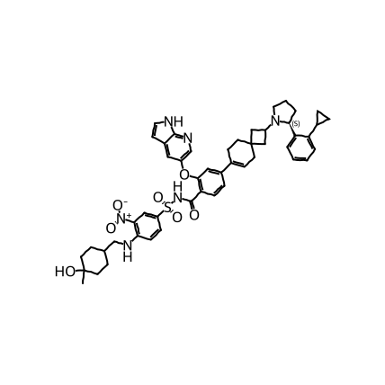 CC1(O)CCC(CNc2ccc(S(=O)(=O)NC(=O)c3ccc(C4=CCC5(CC4)CC(N4CCC[C@H]4c4ccccc4C4CC4)C5)cc3Oc3cnc4[nH]ccc4c3)cc2[N+](=O)[O-])CC1